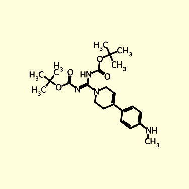 CNc1ccc(C2=CCN(C(=NC(=O)OC(C)(C)C)NC(=O)OC(C)(C)C)CC2)cc1